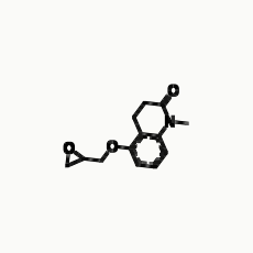 CN1C(=O)CCc2c(OCC3CO3)cccc21